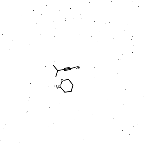 C1CC[SiH2]OC1.CC(C)C#CO